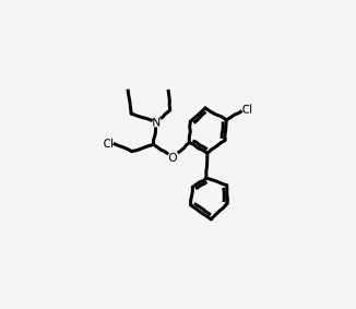 CCN(CC)C(CCl)Oc1ccc(Cl)cc1-c1ccccc1